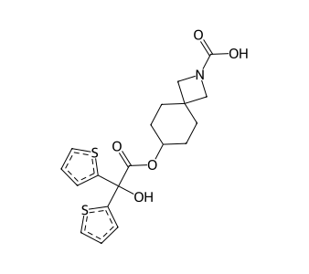 O=C(O)N1CC2(CCC(OC(=O)C(O)(c3cccs3)c3cccs3)CC2)C1